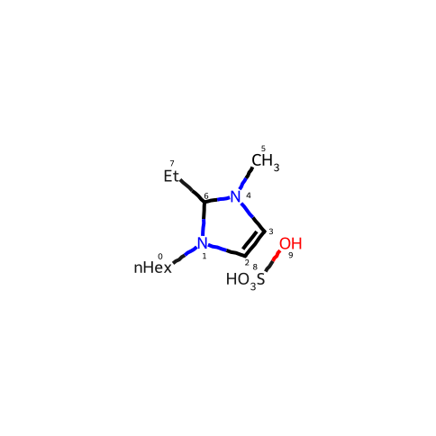 CCCCCCN1C=CN(C)C1CC.O=S(=O)(O)O